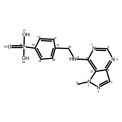 Cn1ncc2ncnc(NCc3ccc(P(=O)(O)O)cc3)c21